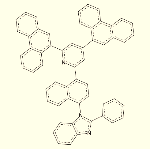 c1ccc(-c2nc3ccccc3n2-c2ccc(-c3cc(-c4cc5ccccc5c5ccccc45)cc(-c4cc5ccccc5c5ccccc45)n3)c3ccccc23)cc1